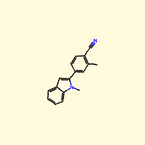 Cc1cc(-c2cc3ccccc3n2C)ccc1C#N